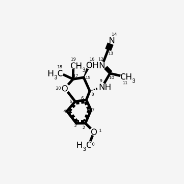 COc1ccc2c(c1)[C@@H](NC(C)=NC#N)[C@H](O)C(C)(C)O2